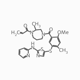 C=CC(=O)N1CCCN(C(=O)c2cc(Sc3cnc(Nc4ccccn4)s3)c(C)cc2OC)CC1C